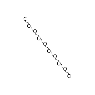 ClCCOCCOCCOCCOCCOCCOCCOCCOCCCl